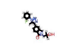 Cc1c(-c2ccc3c(c2)CN(CC(C)(C)O)C3=O)nnn1-c1ccccc1F